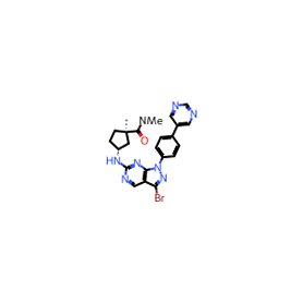 CNC(=O)[C@]1(C)CC[C@@H](Nc2ncc3c(Br)nn(-c4ccc(-c5cncnc5)cc4)c3n2)C1